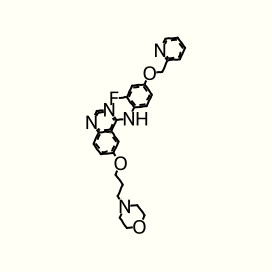 Fc1cc(OCc2ccccn2)ccc1Nc1ncnc2ccc(OCCCN3CCOCC3)cc12